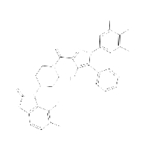 O=C(c1nn(-c2cc(F)c(F)c(F)c2)c(-c2cccnc2)c1Br)N1CCC(n2c(=S)[nH]c3ccc(F)c(F)c32)CC1